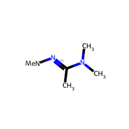 CN/N=C(\C)N(C)C